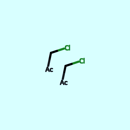 CC(=O)CCl.CC(=O)CCl